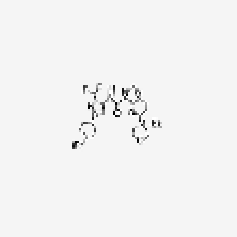 CC[C@@H]1COCCN1c1ccc2ncnc(C(=O)Nc3cn(C4CCC(C(C)C)CC4)nc3C(F)F)c2n1